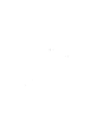 CC(C)CCCC=C1CC1